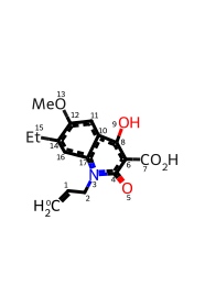 C=CCn1c(=O)c(C(=O)O)c(O)c2cc(OC)c(CC)cc21